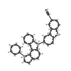 N#Cc1ccc2oc3ccc(-n4c5ccccc5c5c6c(ccc54)ccn6-c4ccccc4)cc3c2c1